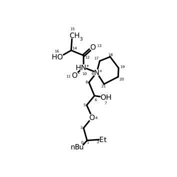 CCCCC(CC)COCC(O)C[N+]1([NH+]([O-])C(=O)C(C)O)CCCCC1